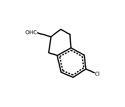 O=CC1CCc2cc(Cl)ccc2C1